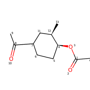 CC(=O)O[C@H]1CCC(C(C)=O)C[C@H]1C